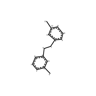 Cc1cccc([CH]Cc2cccc(C)c2)c1